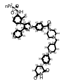 CCCS(=O)(=O)Nc1cccc(-c2cn(-c3ccc(C(=O)N4CCN(CC5CCN(c6ccc([C@H]7CCC(=O)NC7=O)cc6)CC5)CC4)cc3)nc2-c2ccncc2)c1F